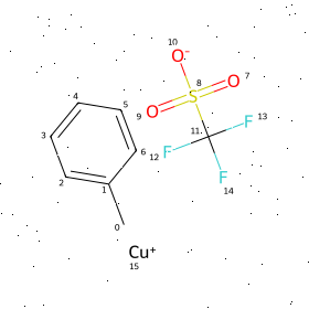 Cc1ccccc1.O=S(=O)([O-])C(F)(F)F.[Cu+]